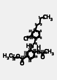 CCCCc1ccc(CNc2cc(C(=O)OCC)ccc2NC(C)=O)c(Cl)c1